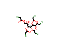 O=C(CCl)OC[C@@H](O)[C@@H](OC(=O)CCl)[C@H](OC(=O)CCl)[C@@H](OC(=O)CCl)C(=O)C(=O)CCl